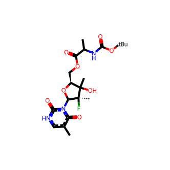 Cc1c[nH]c(=O)n(C2O[C@@H](COC(=O)C(C)NC(=O)OC(C)(C)C)C(C)(O)[C@@]2(C)F)c1=O